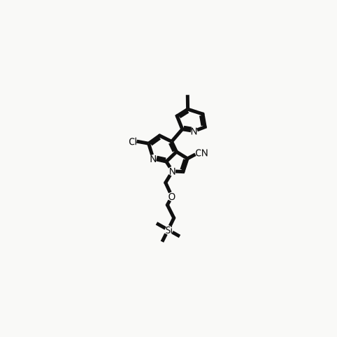 Cc1ccnc(-c2cc(Cl)nc3c2c(C#N)cn3COCC[Si](C)(C)C)c1